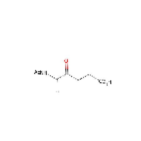 C=C(NC(C)=O)C(=O)CCC(=O)O